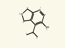 CC(C)c1c(S)cnc2c1COC2